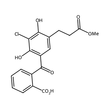 COC(=O)CCc1cc(C(=O)c2ccccc2C(=O)O)c(O)c(Cl)c1O